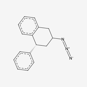 [N-]=[N+]=NC1Cc2ccccc2[C@@H](c2ccccc2)C1